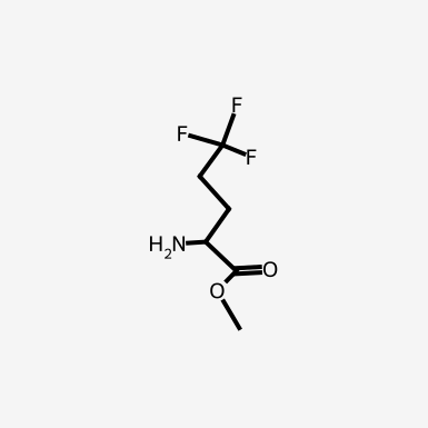 COC(=O)C(N)CCC(F)(F)F